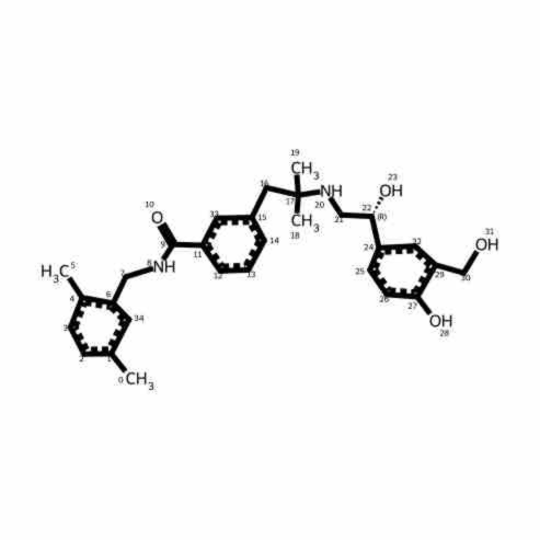 Cc1ccc(C)c(CNC(=O)c2cccc(CC(C)(C)NC[C@H](O)c3ccc(O)c(CO)c3)c2)c1